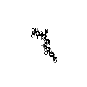 COc1nc(Nc2nccc(-c3cc(C#N)c(OC4CCN(C(=O)[C@H](C)O)CC4(F)F)cn3)n2)ccc1N1CCN(C2COC2)CC1